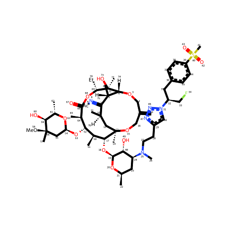 C=C1CO[C@@H]2[C@@H](C)/C(=N/C(C)=O)[C@H](C)C[C@@](C)(OC1)[C@H](O[C@@H]1O[C@H](C)C[C@H](N(C)CCc3cn([C@H](CF)Cc4ccc(S(C)(=O)=O)cc4)nn3)[C@H]1O)[C@@H](C)[C@H](O[C@H]1C[C@@](C)(OC)[C@@H](O)[C@H](C)O1)[C@@H](C)C(=O)O[C@H](CC)[C@@]2(C)O